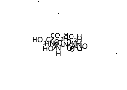 O=C(O)CCC(NC(=O)C1CCC(=O)N1)C(=O)NCC(=O)NC(CO)C(=O)NC(CC(=O)O)C(=O)O